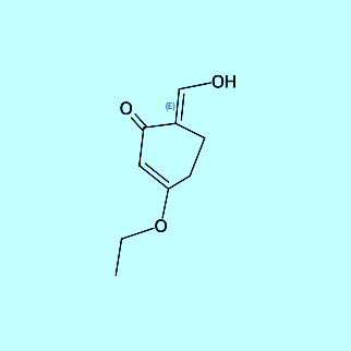 CCOC1=CC(=O)/C(=C/O)CC1